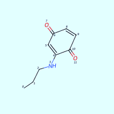 CCCNC1=CC(=O)C=CC1=O